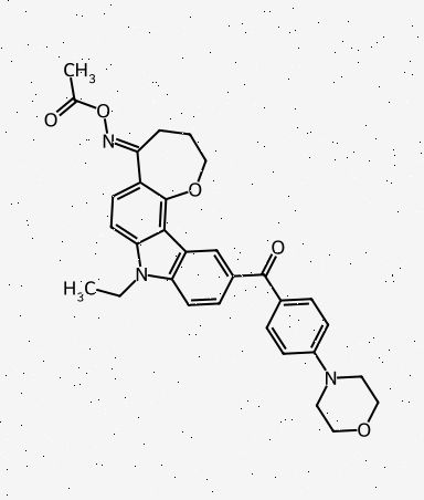 CCn1c2ccc(C(=O)c3ccc(N4CCOCC4)cc3)cc2c2c3c(ccc21)/C(=N/OC(C)=O)CCCO3